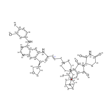 O=C(/C=C/CN1CCC(CN2CC3CC(C2)N3c2cc3c(cc2F)C(=O)N(C2CCC(=O)NC2=O)C3=O)CC1)Nc1cc2c(Nc3ccc(F)c(Cl)c3)ncnc2cc1O[C@H]1CCOC1